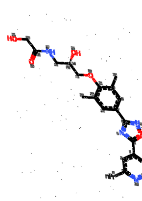 CCCc1cc(-c2nc(-c3cc(C)c(OC[C@@H](O)CNC(=O)CO)c(C)c3)no2)cc(C)n1